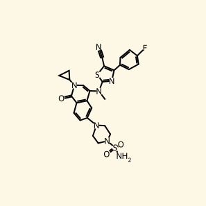 CN(c1nc(-c2ccc(F)cc2)c(C#N)s1)c1cn(C2CC2)c(=O)c2ccc(N3CCN(S(N)(=O)=O)CC3)cc12